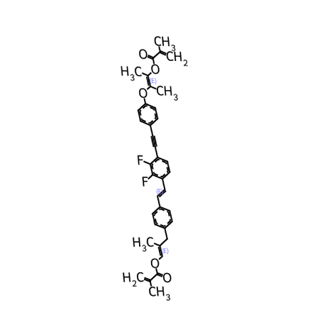 C=C(C)C(=O)O/C=C(\C)Cc1ccc(/C=C/c2ccc(C#Cc3ccc(O/C(C)=C(\C)OC(=O)C(=C)C)cc3)c(F)c2F)cc1